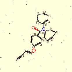 C#CC#COc1ccc(C(=O)N(c2ccccc2)c2ccccc2)cc1